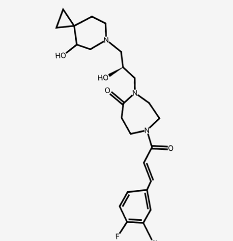 O=C(/C=C/c1ccc(F)c(Cl)c1)N1CCC(=O)N(C[C@@H](O)CN2CCC3(CC3)C(O)C2)CC1